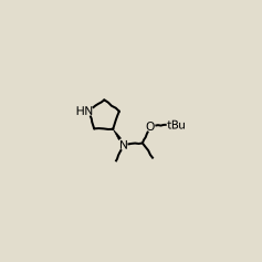 CC(OC(C)(C)C)N(C)[C@@H]1CCNC1